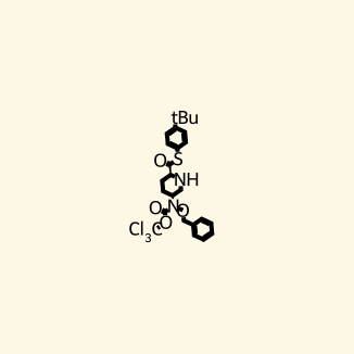 CC(C)(C)c1ccc(SC(=O)[C@@H]2CC[C@@H](N(OCc3ccccc3)C(=O)OC(Cl)(Cl)Cl)CN2)cc1